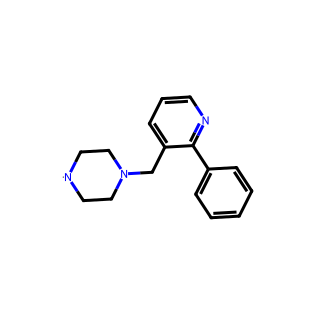 c1ccc(-c2ncccc2CN2CC[N]CC2)cc1